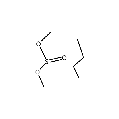 CCCC.CO[Si](=O)OC